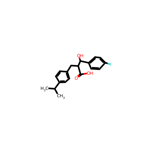 CC(C)c1ccc(CC(C(=O)O)C(O)c2ccc(F)cc2)cc1